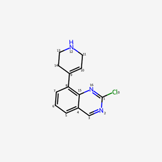 Clc1ncc2cccc(C3=CCNCC3)c2n1